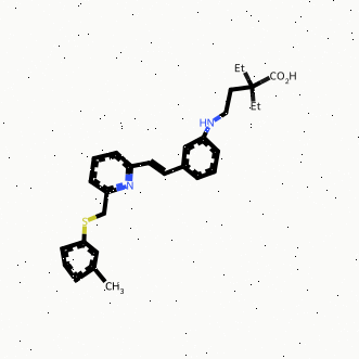 CCC(CC)(CCNc1cccc(C=Cc2cccc(CSc3cccc(C)c3)n2)c1)C(=O)O